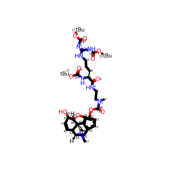 CN(CCNC(=O)[C@H](CCCN/C(=N/C(=O)OC(C)(C)C)NC(=O)OC(C)(C)C)NC(=O)OC(C)(C)C)C(=O)Oc1ccc2c3c1O[C@H]1C(O)C=CC4[C@@H](C2)N(C)CC[C@@]341